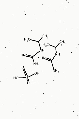 CC(C)NC(=N)N.CC(C)NC(=N)N.O=S(=O)(O)O